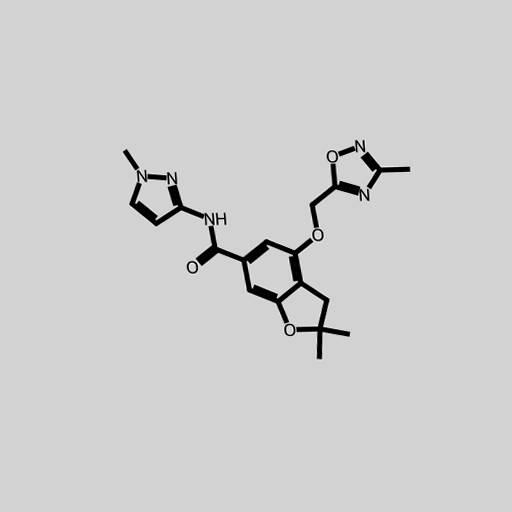 Cc1noc(COc2cc(C(=O)Nc3ccn(C)n3)cc3c2CC(C)(C)O3)n1